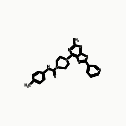 Cc1ccc(NC(=S)N2CCN(c3nc(N)nc4sc(-c5cccnc5)nc34)CC2)cc1